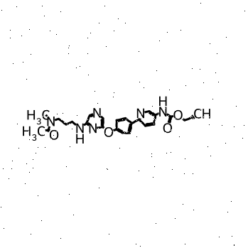 C#CCOC(=O)Nc1ccc(-c2ccc(Oc3cncc(NCCCN(C)C(C)=O)n3)cc2)nc1